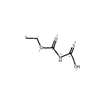 CCOC(=O)NC(O)=S